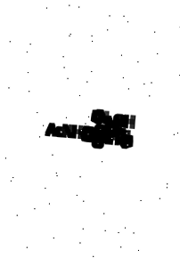 CC(=O)Nc1ccc(S(=O)(=O)Nc2cc(CN3CCCC3)c(O)c(CN3CCCC3)c2)cc1